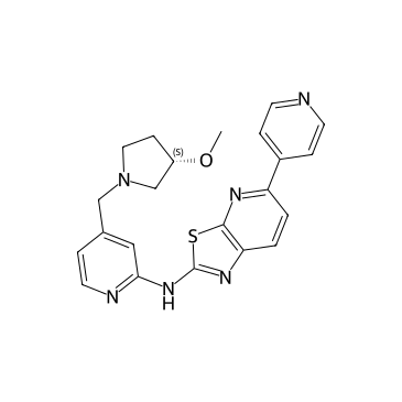 CO[C@H]1CCN(Cc2ccnc(Nc3nc4ccc(-c5ccncc5)nc4s3)c2)C1